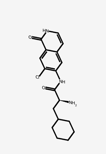 N[C@@H](CC1CCCCC1)C(=O)Nc1cc2cc[nH]c(=O)c2cc1Cl